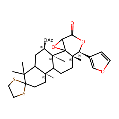 CC(=O)O[C@@H]1CC2C(C)(C)C3(CC[C@]2(C)C2CC[C@@]4(C)[C@H](c5ccoc5)OC(=O)C5OC54[C@@]21C)SCCS3